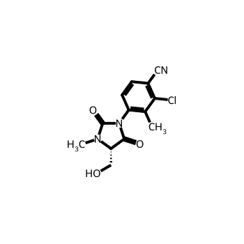 Cc1c(N2C(=O)[C@H](CO)N(C)C2=O)ccc(C#N)c1Cl